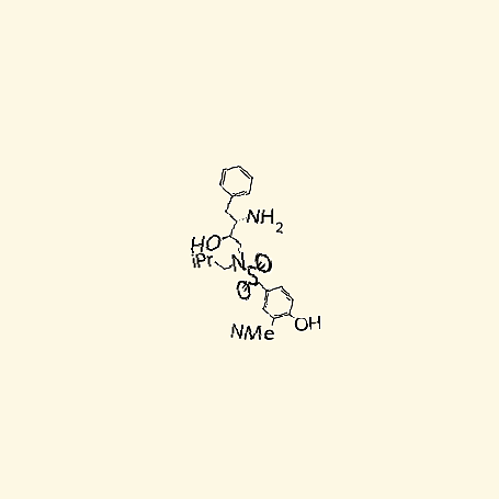 CNc1cc(S(=O)(=O)N(CC(C)C)C[C@@H](O)[C@@H](N)Cc2ccccc2)ccc1O